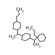 CCCC1CCC(C(C)C2CCC(C(C)C3(CCC)CCCCC3)CC2)CC1